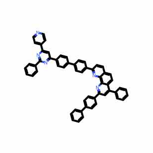 c1ccc(-c2ccc(-c3cc(-c4ccccc4)c4ccc5ccc(-c6ccc(-c7ccc(-c8cc(-c9ccncc9)nc(-c9ccccc9)n8)cc7)cc6)nc5c4n3)cc2)cc1